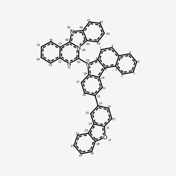 c1ccc2c(c1)ccc1c2c2cc(-c3ccc4oc5ccccc5c4c3)ccc2n1-c1nc2ccccc2c2nc3ccccc3n12